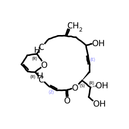 C=C1CCC[C@@H]2CC=C[C@@H](C/C=C\C(=O)O[C@H]([C@H](O)CO)C/C=C/C(O)C1)O2